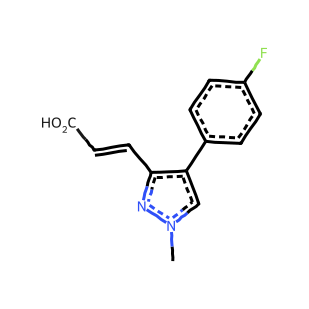 Cn1cc(-c2ccc(F)cc2)c(C=CC(=O)O)n1